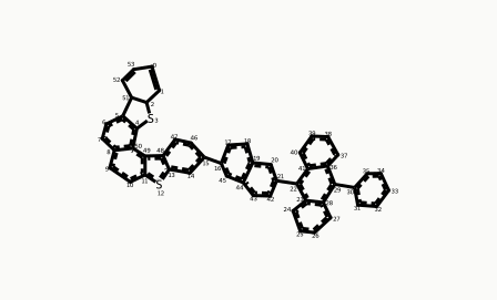 C1=CC2Sc3c(ccc4ccc5sc6cc(-c7ccc8cc(-c9c%10ccccc%10c(-c%10ccccc%10)c%10ccccc9%10)ccc8c7)ccc6c5c34)C2C=C1